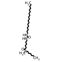 CCCCCCCCCCCCCCCCCCNC(=O)NCCCCCC(=O)N(C)CCCCCC